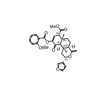 C=C1O[C@H](c2ccoc2)C[C@]2(C)[C@H]3C(=O)C(OC(=O)c4ccccc4OC)=C[C@@H](C(=O)OC)[C@]3(C)CC[C@@H]12